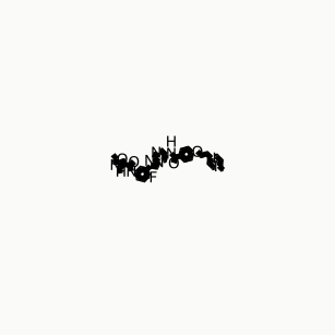 Cc1nc(C)c(C(=O)Nc2ccc(F)c(-c3cn4cc(NC(=O)c5ccc(OCCN6CCN(C)CC6)cc5)cnc4n3)c2)o1